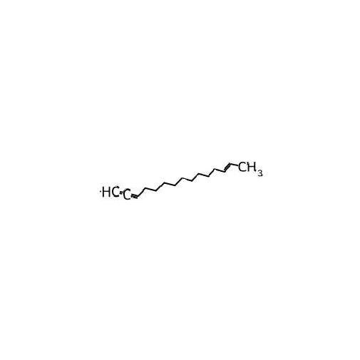 [CH]=C=CCCCCCCCCCC=CC